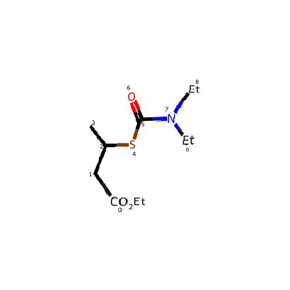 CCOC(=O)CC(C)SC(=O)N(CC)CC